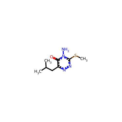 CSc1nnc(CC(C)C)c(=O)n1N